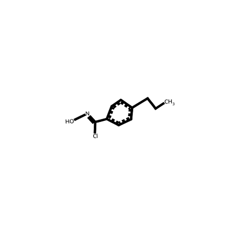 CCCc1ccc(C(Cl)=NO)cc1